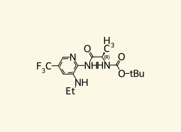 CCNc1cc(C(F)(F)F)cnc1NC(=O)[C@@H](C)NC(=O)OC(C)(C)C